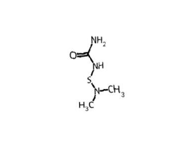 CN(C)SNC(N)=O